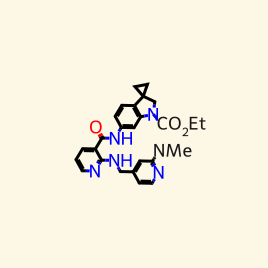 CCOC(=O)N1CC2(CC2)c2ccc(NC(=O)c3cccnc3NCc3ccnc(NC)c3)cc21